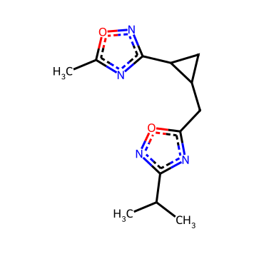 Cc1nc(C2CC2Cc2nc(C(C)C)no2)no1